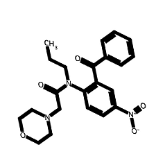 CCCN(C(=O)CN1CCOCC1)c1ccc([N+](=O)[O-])cc1C(=O)c1ccccc1